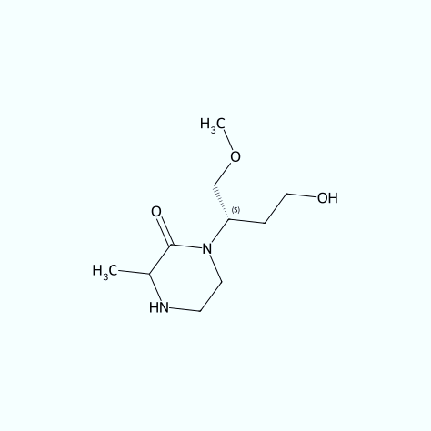 COC[C@H](CCO)N1CCNC(C)C1=O